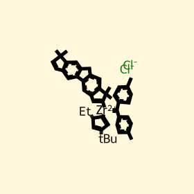 CCC1C=C(C(C)(C)C)C=[C]1[Zr+2]([C]1=Cc2cc3c(cc2C1(C)C)Cc1cc2c(cc1-3)C=CC2(C)C)=[C](c1ccc(C)cc1)c1ccc(C)cc1.[Cl-].[Cl-]